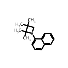 CC1(C)CB(c2cccc3ccccc23)C1(C)C